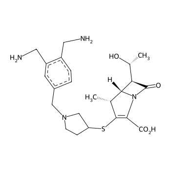 C[C@@H](O)[C@H]1C(=O)N2C(C(=O)O)=C(SC3CCN(Cc4ccc(CN)c(CN)c4)C3)[C@H](C)[C@H]12